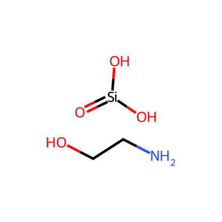 NCCO.O=[Si](O)O